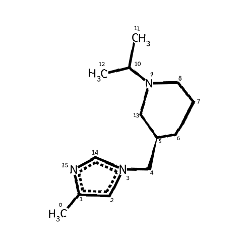 Cc1cn(C[C@@H]2CCCN(C(C)C)C2)cn1